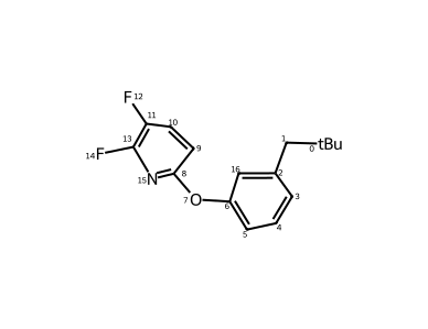 CC(C)(C)Cc1cccc(Oc2ccc(F)c(F)n2)c1